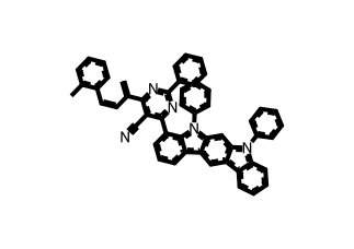 C=C(/C=C\c1ccccc1C)c1nc(-c2ccccc2)nc(-c2cccc3c4cc5c6ccccc6n(-c6ccccc6)c5cc4n(-c4ccccc4)c23)c1C#N